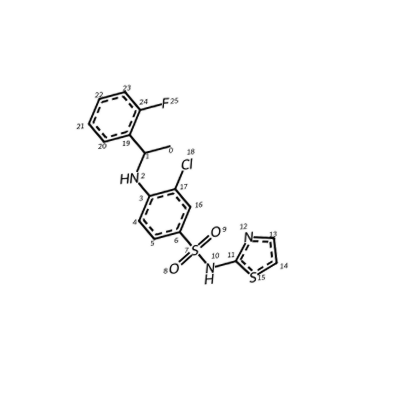 CC(Nc1ccc(S(=O)(=O)Nc2nccs2)cc1Cl)c1ccccc1F